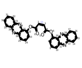 O=C(/C=C\C(=O)Oc1cccc2nc3ccccc3nc12)Oc1cccc2nc3ccccc3nc12